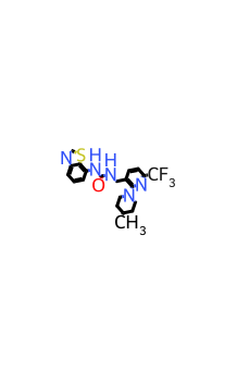 CC1CCN(c2nc(C(F)(F)F)ccc2CNC(=O)Nc2cccc3ncsc23)CC1